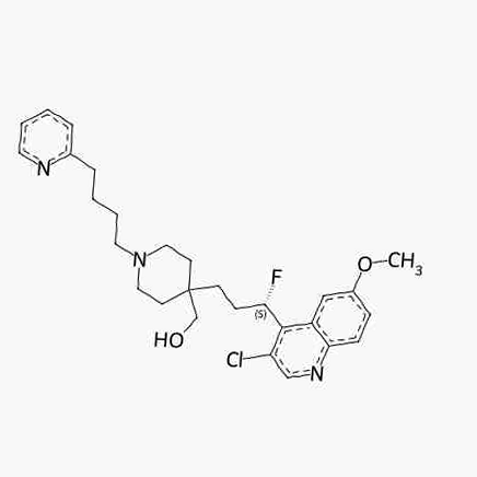 COc1ccc2ncc(Cl)c([C@@H](F)CCC3(CO)CCN(CCCCc4ccccn4)CC3)c2c1